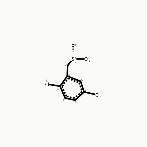 C[S@+]([O-])Cc1cc(Cl)ccc1Cl